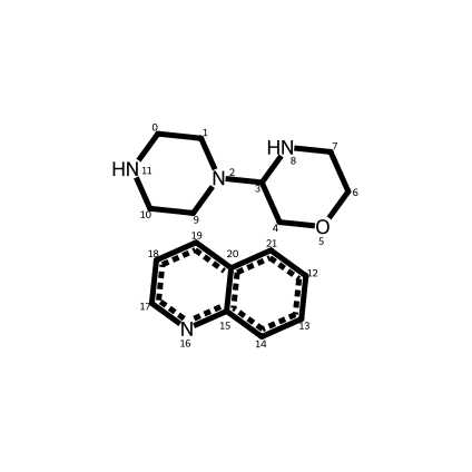 C1CN(C2COCCN2)CCN1.c1ccc2ncccc2c1